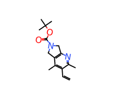 C=Cc1c(C)nc2c(c1C)CN(C(=O)OC(C)(C)C)C2